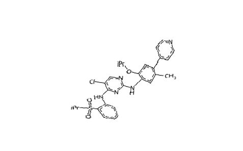 Cc1cc(Nc2ncc(Cl)c(Nc3ccccc3S(=O)(=O)C(C)C)n2)c(OC(C)C)cc1-c1ccncc1